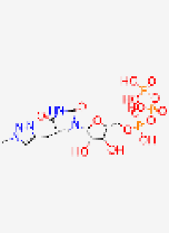 Cn1cc(Cc2cn([C@@H]3O[C@H](COP(=O)(O)OP(=O)(O)OP(=O)(O)O)C(O)[C@@H]3O)c(=O)[nH]c2=O)nn1